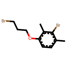 Cc1ccc(OCCCBr)c(C)c1Br